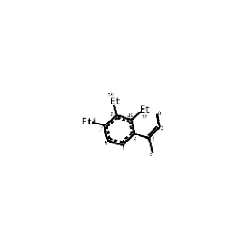 C/C=C(/C)c1ccc(CC)c(CC)c1CC